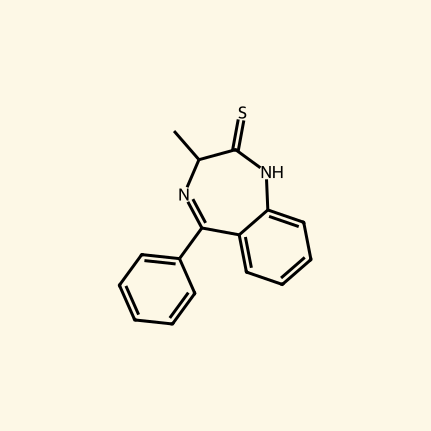 CC1N=C(c2ccccc2)c2ccccc2NC1=S